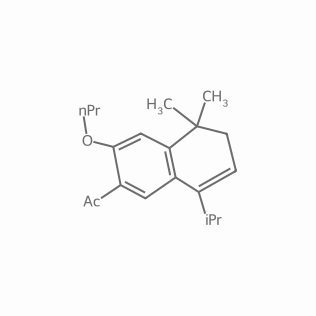 CCCOc1cc2c(cc1C(C)=O)C(C(C)C)=CCC2(C)C